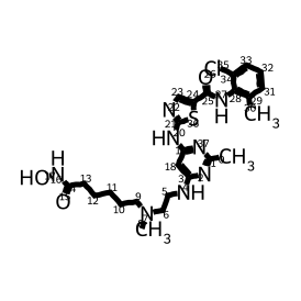 Cc1nc(NCCN(C)CCCCCC(=O)NO)cc(Nc2ncc(C(=O)Nc3c(C)cccc3Cl)s2)n1